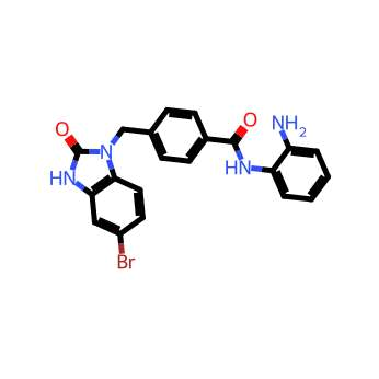 Nc1ccccc1NC(=O)c1ccc(Cn2c(=O)[nH]c3cc(Br)ccc32)cc1